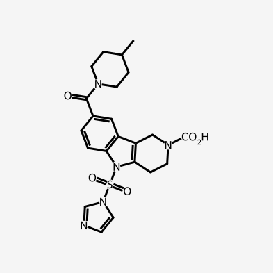 CC1CCN(C(=O)c2ccc3c(c2)c2c(n3S(=O)(=O)n3ccnc3)CCN(C(=O)O)C2)CC1